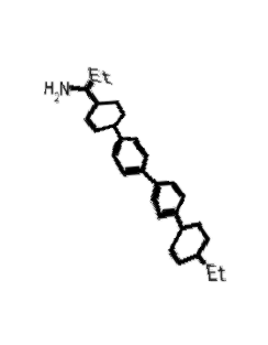 CCC1CCC(c2ccc(-c3ccc(C4CCC(C(N)CC)CC4)cc3)cc2)CC1